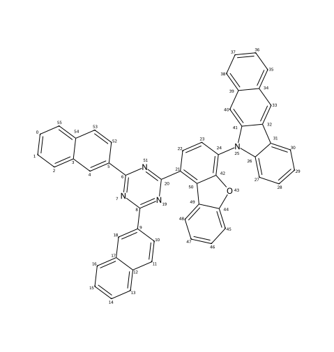 c1ccc2cc(-c3nc(-c4ccc5ccccc5c4)nc(-c4ccc(-n5c6ccccc6c6cc7ccccc7cc65)c5oc6ccccc6c45)n3)ccc2c1